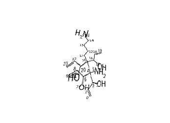 C=CC(O)C(N)(C(O)C=C)C(CCCCN)(C(O)C=C)C(O)C=C